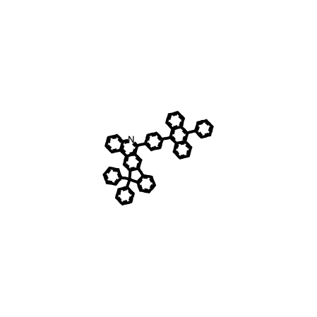 c1ccc(-c2c3ccccc3c(-c3ccc(-c4nc5ccccc5c5cc6c(cc45)-c4ccccc4C6(c4ccccc4)c4ccccc4)cc3)c3ccccc23)cc1